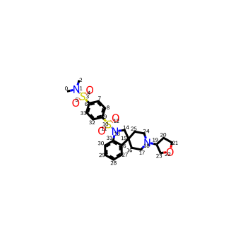 CN(C)S(=O)(=O)c1ccc(S(=O)(=O)N2CC3(CCN(C4CCOC4)CC3)c3ccccc32)cc1